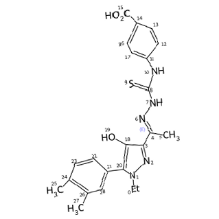 CCn1nc(/C(C)=N/NC(=S)Nc2ccc(C(=O)O)cc2)c(O)c1-c1ccc(C)c(C)c1